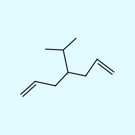 C=CC[C](CC=C)C(C)C